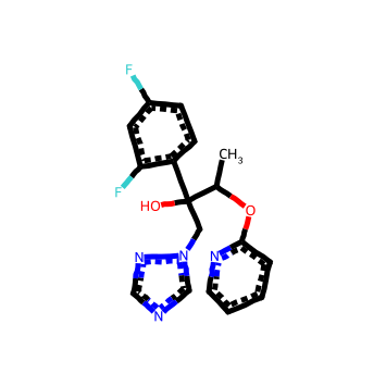 CC(Oc1ccccn1)C(O)(Cn1cncn1)c1ccc(F)cc1F